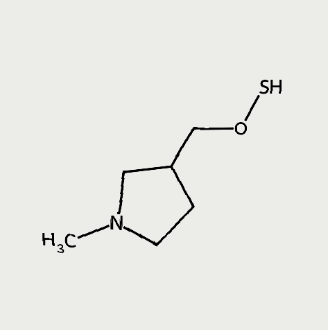 CN1CCC(COS)C1